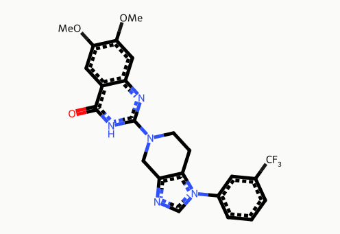 COc1cc2nc(N3CCc4c(ncn4-c4cccc(C(F)(F)F)c4)C3)[nH]c(=O)c2cc1OC